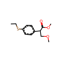 CCSc1ccc(C(COC)C(=O)OC)cc1